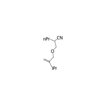 C=C(COCC(C#N)CCC)C(C)C